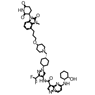 Cn1c(=O)n(C2CCC(=O)NC2=O)c2cccc(CCCOC3CCN(C[C@H]4CC[C@H](n5cc(NC(=O)c6cnn7ccc(N[C@@H]8CCCC[C@H]8O)nc67)c(C(F)F)n5)CC4)CC3)c21